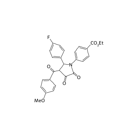 CCOC(=O)c1ccc(N2C(=O)C(=O)C(C(=O)c3ccc(OC)cc3)C2c2ccc(F)cc2)cc1